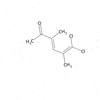 CC(=O)C(C)=CC(C)=C(Cl)Cl